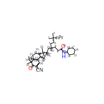 CCCC(C)(C)CC[C@](C)(CCC(=O)NC1CCCCC1)CCC(C)(C)[C@]1(C)CC[C@H]2C(C)(C)C(=O)C(C#N)=C[C@]2(C)/C1=C/C(C)=O